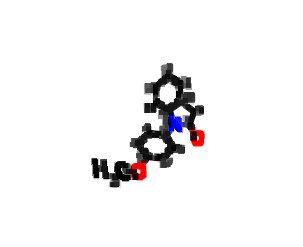 COc1ccc(N2C(=O)Cc3ccccc32)cc1